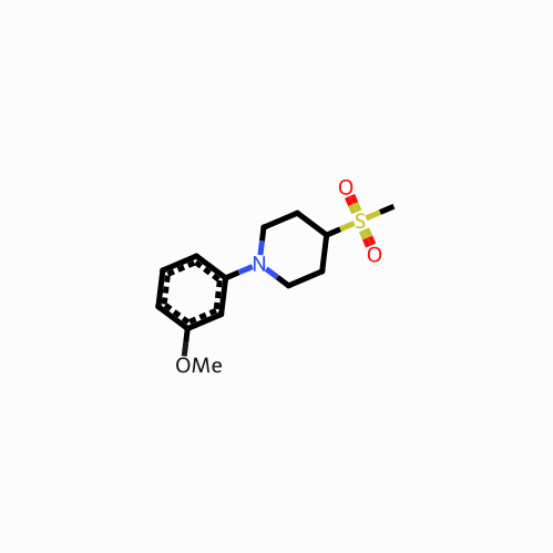 COc1cccc(N2CCC(S(C)(=O)=O)CC2)c1